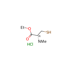 CCOC(=O)[C@H](CS)NC.Cl